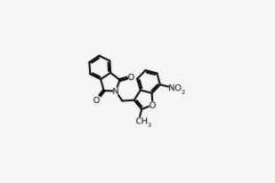 Cc1oc2c([N+](=O)[O-])cccc2c1CN1C(=O)c2ccccc2C1=O